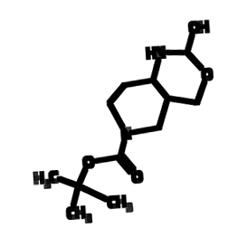 CC(C)(C)OC(=O)N1CCC2NC(O)OCC2C1